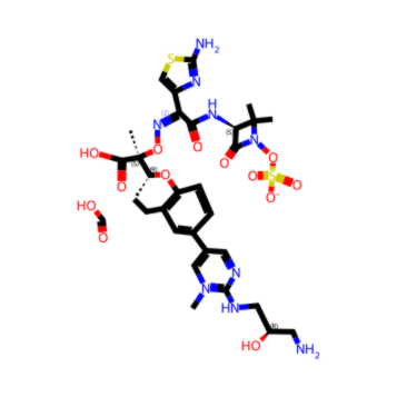 C[n+]1cc(-c2ccc3c(c2)CC[C@H]([C@](C)(O/N=C(\C(=O)N[C@@H]2C(=O)N(OS(=O)(=O)[O-])C2(C)C)c2csc(N)n2)C(=O)O)O3)cnc1NC[C@H](O)CN.O=CO